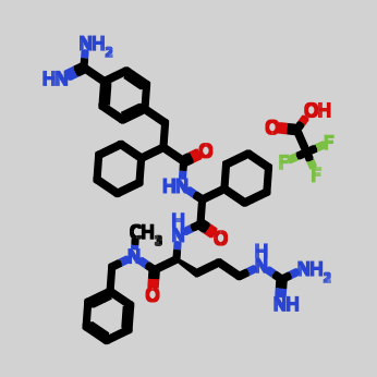 CN(Cc1ccccc1)C(=O)[C@H](CCCNC(=N)N)NC(=O)C(NC(=O)C(Cc1ccc(C(=N)N)cc1)C1CCCCC1)C1CCCCC1.O=C(O)C(F)(F)F